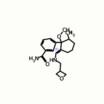 COC1(c2cccc(C(N)=O)c2)/C(=C/NCC2COC2)CCCC1C